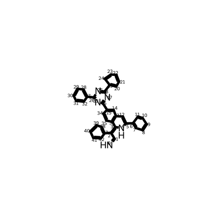 N=C/C(=C1\NC(c2ccccc2)=Cc2cc(-c3nc(-c4ccccc4)nc(-c4ccccc4)n3)ccc21)c1ccccc1